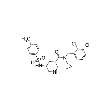 Cc1ccc(S(=O)(=O)NC2CNCC(C(=O)N(Cc3cccc(Cl)c3Cl)C3CC3)C2)cc1